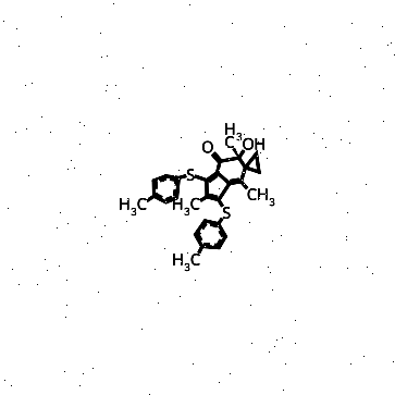 CC1=C(Sc2ccc(C)cc2)C2=C(C)C3(CC3)[C@@](C)(O)C(=O)C2=C1Sc1ccc(C)cc1